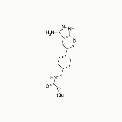 CC(C)(C)OC(=O)NCC1CC=C(c2cnc3[nH]nc(N)c3c2)CC1